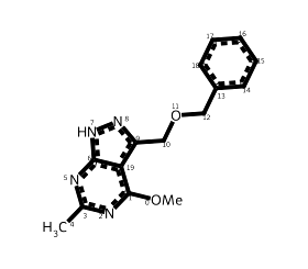 COc1nc(C)nc2[nH]nc(COCc3ccccc3)c12